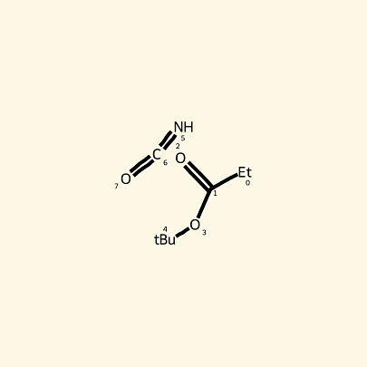 CCC(=O)OC(C)(C)C.N=C=O